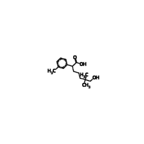 Cc1cccc(C(CCCC(C)(C)CO)C(=O)O)c1